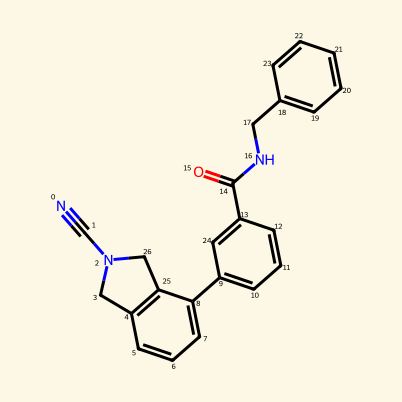 N#CN1Cc2cccc(-c3cccc(C(=O)NCc4ccccc4)c3)c2C1